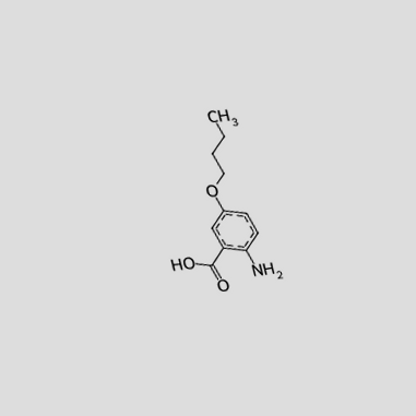 CCCCOc1ccc(N)c(C(=O)O)c1